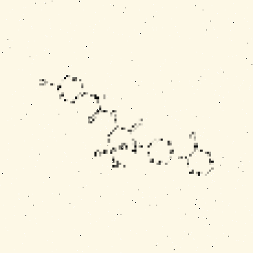 CS(=O)(=O)CC(OC(=O)Nc1ccc(Cl)cc1)C(=O)Nc1ccc(-n2ccccc2=O)cc1